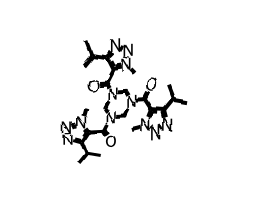 CC(C)c1nnn(C)c1C(=O)N1CN(C(=O)c2c(C(C)C)nnn2C)CN(C(=O)c2c(C(C)C)nnn2C)C1